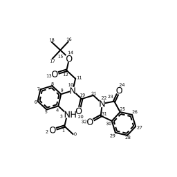 CC(=O)Nc1ccccc1N(CC(=O)OC(C)(C)C)C(=O)CN1C(=O)c2ccccc2C1=O